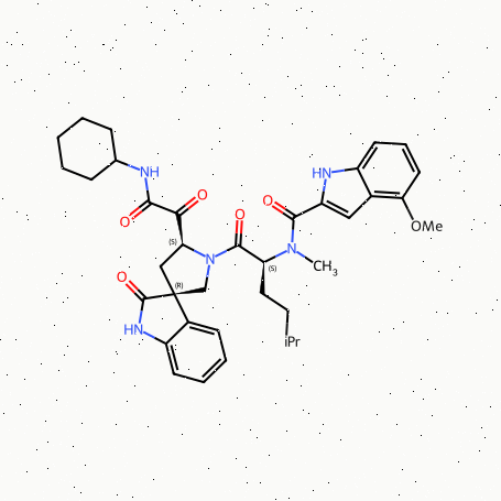 COc1cccc2[nH]c(C(=O)N(C)[C@@H](CCC(C)C)C(=O)N3C[C@]4(C[C@H]3C(=O)C(=O)NC3CCCCC3)C(=O)Nc3ccccc34)cc12